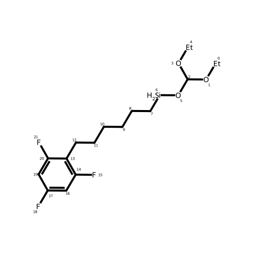 CCOC(OCC)O[SiH2]CCCCCCc1c(F)cc(F)cc1F